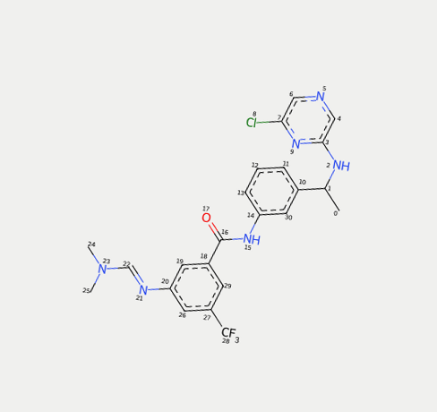 CC(Nc1cncc(Cl)n1)c1cccc(NC(=O)c2cc(N=CN(C)C)cc(C(F)(F)F)c2)c1